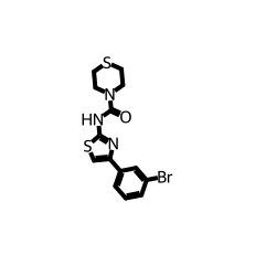 O=C(Nc1nc(-c2cccc(Br)c2)cs1)N1CCSCC1